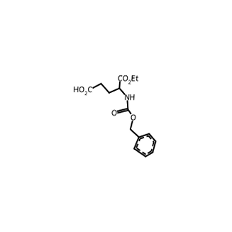 CCOC(=O)C(CCC(=O)O)NC(=O)OCc1ccccc1